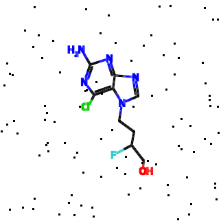 Nc1nc(Cl)c2c(ncn2CCC(F)CO)n1